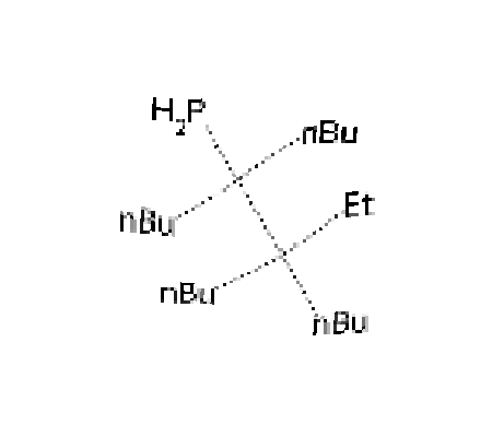 CCCCC(P)(CCCC)C(CC)(CCCC)CCCC